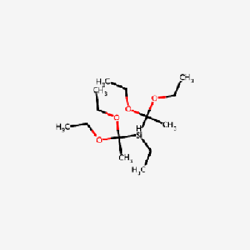 CCOC(C)(OCC)[SiH](CC)C(C)(OCC)OCC